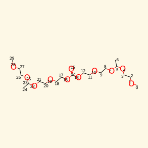 COCCOC(C)OCCOCCOC(=O)OCCOCCOC(C)OCCOC